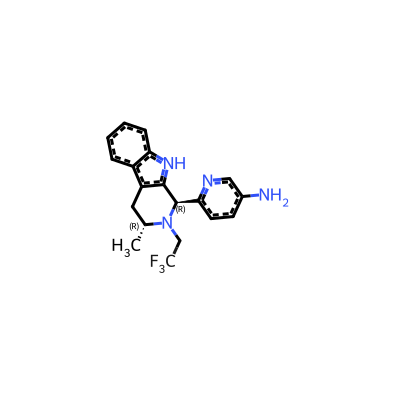 C[C@@H]1Cc2c([nH]c3ccccc23)[C@@H](c2ccc(N)cn2)N1CC(F)(F)F